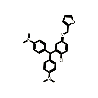 CN(C)c1ccc(C(C2=C(Cl)C=CC(=NCc3ccco3)C2)c2ccc(N(C)C)cc2)cc1